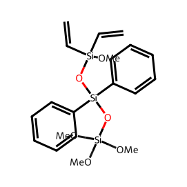 C=C[Si](C=C)(OC)O[Si](O[Si](OC)(OC)OC)(c1ccccc1)c1ccccc1